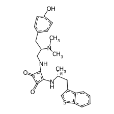 C[C@H](Cc1csc2ccccc12)Nc1c(NCC(Cc2ccc(O)cc2)N(C)C)c(=O)c1=O